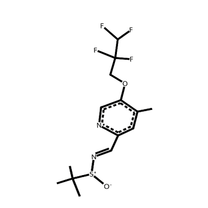 Cc1cc(C=N[S+]([O-])C(C)(C)C)ncc1OCC(F)(F)C(F)F